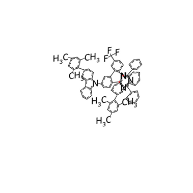 Cc1cc(C)c(-c2ccc3c(c2)c2ccccc2n3-c2ccc(-c3nc(-c4ccccc4)nc(-c4ccccc4)n3)c(-c3cc(C(F)(F)F)ccc3-n3c4ccccc4c4cc(-c5c(C)cc(C)cc5C)ccc43)c2)c(C)c1